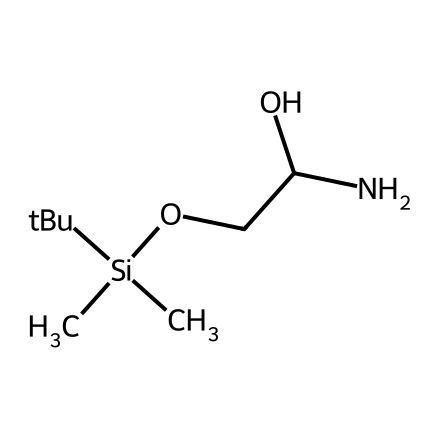 CC(C)(C)[Si](C)(C)OCC(N)O